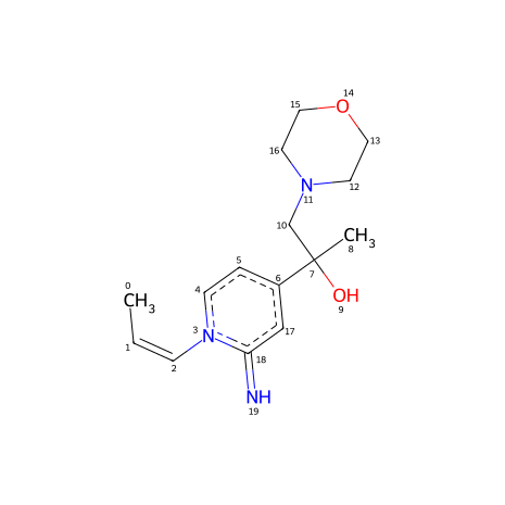 C/C=C\n1ccc(C(C)(O)CN2CCOCC2)cc1=N